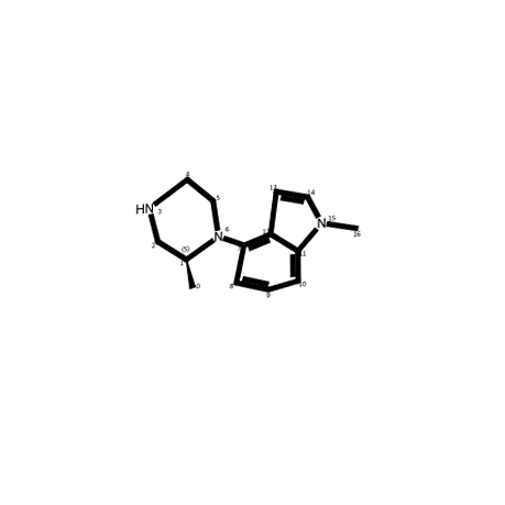 C[C@H]1CNCCN1c1cccc2c1ccn2C